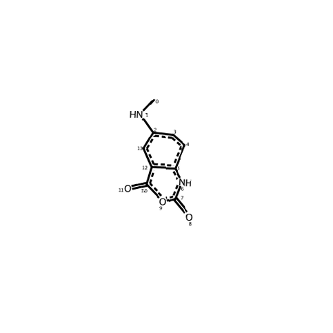 CNc1ccc2[nH]c(=O)oc(=O)c2c1